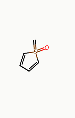 C=S1(=O)C=CC=C1